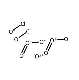 O=[O+][O-].O=[O+][O-].[O+2].[O-]Cl.[O-]Cl